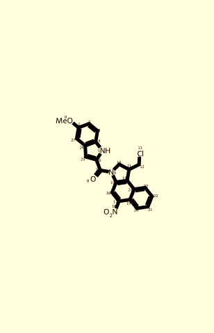 COc1ccc2[nH]c(C(=O)N3CC(CCl)c4c3cc([N+](=O)[O-])c3ccccc43)cc2c1